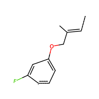 C/C=C(\C)COc1cc[c]c(F)c1